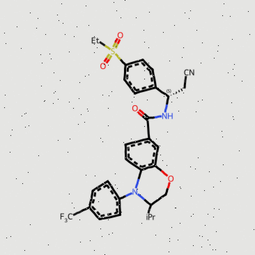 CCS(=O)(=O)c1ccc([C@H](CC#N)NC(=O)c2ccc3c(c2)OCC(C(C)C)N3c2ccc(C(F)(F)F)cc2)cc1